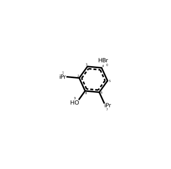 Br.CC(C)c1cccc(C(C)C)c1O